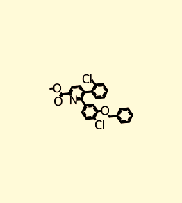 COC(=O)c1ccc(-c2ccccc2Cl)c(-c2ccc(Cl)c(OCc3ccccc3)c2)n1